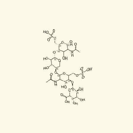 CC(=O)NC1[C@@H](O[C@@H]2CO[C@@H](O[C@H]3C(O)C(NC(C)=O)[C@@H](O)O[C@H]3COS(=O)(=O)O)C(O)C2O)OC(COS(=O)(=O)O)[C@@H](O[C@@H]2OC(C(=O)O)[C@@H](O)C(O)[C@@H]2O)[C@@H]1O